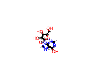 [O-][N+]1([C@@H]2O[C@H](CO)[C@@H](O)[C@H]2O)C=Nc2c(O)ncnc21